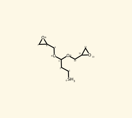 [SiH3]CCC(OCC1CO1)OCC1CO1